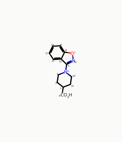 O=C(O)C1CCN(c2noc3ccccc23)CC1